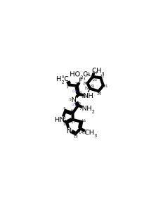 C=C/C(F)=C(\N=C(/N)c1c[nH]c2ncc(C)cc12)N[C@H]1CCC[C@@](C)(C(=O)O)C1